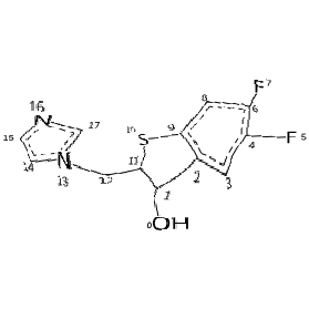 OC1c2cc(F)c(F)cc2SC1Cn1ccnc1